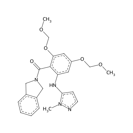 COCOc1cc(Nc2ccnn2C)c(C(=O)N2Cc3ccccc3C2)c(OCOC)c1